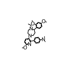 CCN1CCN(c2ccc(OC)nc2-c2ccc(N(C)C)cc2)CCC1c1ccc(OC)cc1OC